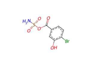 NS(=O)(=O)OC(=O)c1ccc(Br)c(O)c1